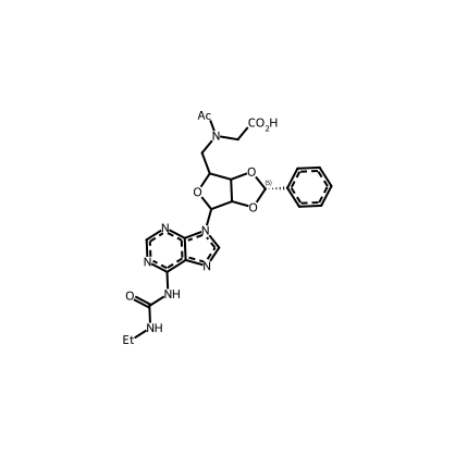 CCNC(=O)Nc1ncnc2c1ncn2C1OC(CN(CC(=O)O)C(C)=O)C2O[C@H](c3ccccc3)OC21